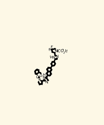 O=C(O)N1CC(F)(F)CC1c1ncc(-c2ccc(-c3ccc4cc(-c5cnc(C6CCCN6C(=O)OCc6ccccc6)[nH]5)ccc4c3)cc2)[nH]1